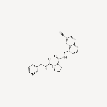 C#Cc1ccc2cccc(CNC(=O)N3CCC[C@H]3C(=O)NCc3cccnc3)c2c1